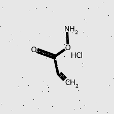 C=CC(=O)ON.Cl